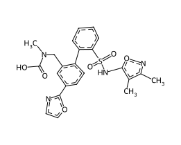 Cc1noc(NS(=O)(=O)c2ccccc2-c2ccc(-c3ncco3)cc2CN(C)C(=O)O)c1C